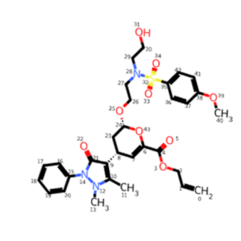 C=CCOC(=O)C1=C[C@H](c2c(C)n(C)n(-c3ccccc3)c2=O)C[C@H](OCCN(CCO)S(=O)(=O)c2ccc(OC)cc2)O1